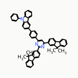 CC1(C)c2ccccc2-c2ccc(-c3cc(-c4ccc(-c5ccc6c(c5)c5ccccc5n6-c5ccccc5)cc4)nc(-c4ccc5c(c4)C(C)(C)c4ccccc4-5)n3)cc21